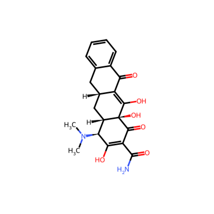 CN(C)[C@@H]1C(O)=C(C(N)=O)C(=O)[C@@]2(O)C(O)=C3C(=O)c4ccccc4C[C@H]3C[C@@H]12